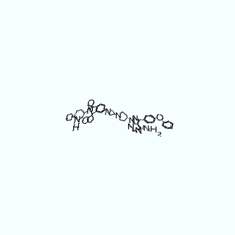 Nc1ncnc2c1c(-c1ccc(Oc3ccccc3)cc1)nn2C1CCN(C2CN(c3ccc4c(c3)C(=O)N(C3CCC(=O)NC3=O)C4=O)C2)CC1